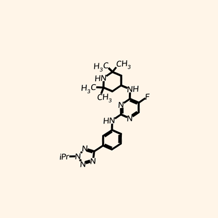 CC(C)n1nnc(-c2cccc(Nc3ncc(F)c(NC4CC(C)(C)NC(C)(C)C4)n3)c2)n1